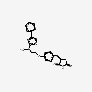 CN(CCOc1ccc(CC2SC(=O)NC2=O)cc1)c1nc(-c2ccccc2)co1